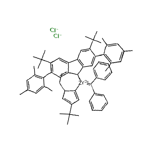 CCC1C=C(C(C)(C)C)C=[C]1[Zr+2](=[C](c1ccccc1)c1ccccc1)[CH]1c2cc(-c3c(C)cc(C)cc3C)c(C(C)(C)C)cc2-c2cc(C(C)(C)C)c(-c3c(C)cc(C)cc3C)cc21.[Cl-].[Cl-]